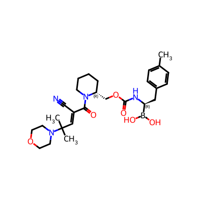 Cc1ccc(C[C@H](NC(=O)OC[C@H]2CCCCN2C(=O)C(C#N)=CC(C)(C)N2CCOCC2)B(O)O)cc1